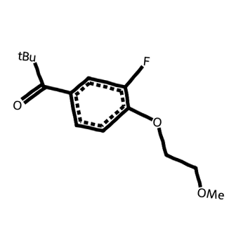 COCCOc1ccc(C(=O)C(C)(C)C)cc1F